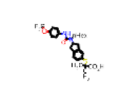 CCCCCCN(C(=O)Nc1ccc(OC(F)(F)F)cc1)C1Cc2ccc(SC(C)(C)C(=O)O)cc2C1